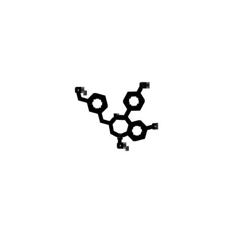 CCc1cccc(CC2CN(C)c3ccc(Cl)cc3C(c3ccc(O)cc3)=N2)c1